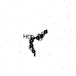 CCCc1ccc(OCc2ccc(CN3CCN(C(=O)C=Cc4cc(C)c(Oc5ccc(OCc6ccc(C)cc6)cn5)c(Cl)c4)CC3)cc2F)cc1.Cl